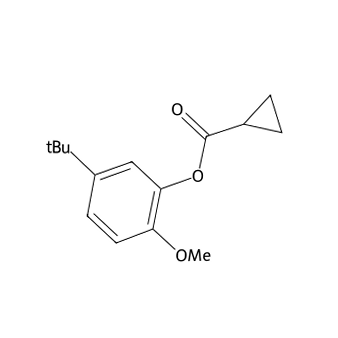 COc1ccc(C(C)(C)C)cc1OC(=O)C1CC1